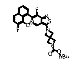 CCCCOC(=O)N1CC2(C1)CN(c1snc3c(F)c(-c4cccc5ccc(F)c(Cl)c45)ncc13)C2